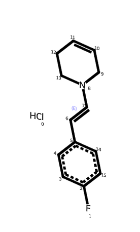 Cl.Fc1ccc(/C=C/N2CC=CCC2)cc1